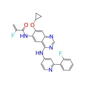 C=C(F)C(=O)Nc1cc2c(Nc3ccnc(-c4ccccc4F)c3)ncnc2cc1OC1CC1